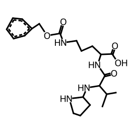 CC(C)C(NC1CCCN1)C(=O)NC(CCCNC(=O)OCc1ccccc1)C(=O)O